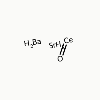 [BaH2].[O]=[Ce].[SrH2]